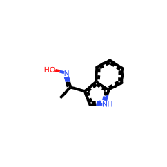 CC(=NO)c1c[nH]c2ccccc12